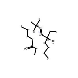 CCCCC(=O)CC.CCCCC(O)(CC)/N=N/C(C)(C)C